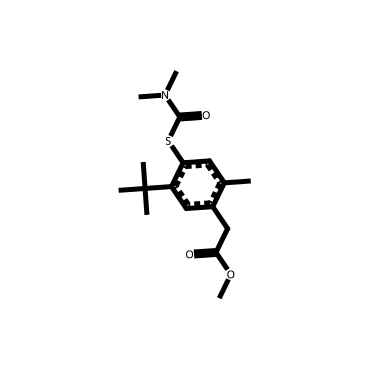 COC(=O)Cc1cc(C(C)(C)C)c(SC(=O)N(C)C)cc1C